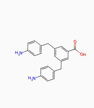 Nc1ccc(Cc2cc(Cc3ccc(N)cc3)cc(C(=O)O)c2)cc1